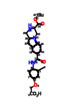 Cc1cc(OCC(=O)O)ccc1NC(=O)c1ccc2c(c1)cc1n2CC(C(=O)OC(C)(C)C)NC1